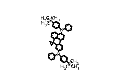 C[Si](C)(C)c1ccc(N(c2ccccc2)c2ccc3c(c2)C2(CC2)c2cccc4c(N(c5ccccc5)c5ccc([Si](C)(C)C)cc5)ccc-3c24)cc1